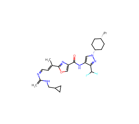 C=C(/N=C\C=C(/C)c1nc(C(=O)Nc2cn([C@H]3CC[C@@H](C(C)C)CC3)nc2C(F)F)co1)NCC1CC1